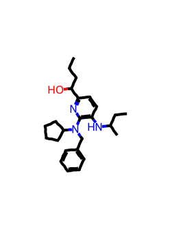 CCCC(O)c1ccc(NC(C)CC)c(N(Cc2ccccc2)C2CCCC2)n1